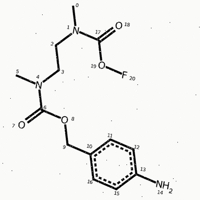 CN(CCN(C)C(=O)OCc1ccc(N)cc1)C(=O)OF